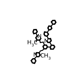 Cc1cc(-c2ccccc2)ncc1CCc1cc(CCc2cnc(-c3ccccc3)cc2C)cc(-c2ccccc2-c2ccc(-c3cccc(-c4ccc(-c5ccccc5)cc4)c3)nc2)c1